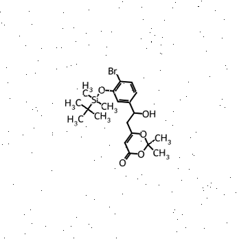 CC1(C)OC(=O)C=C(CC(O)c2ccc(Br)c(O[Si](C)(C)C(C)(C)C)c2)O1